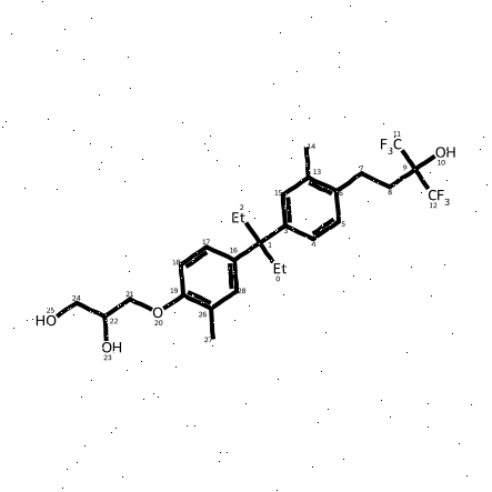 CCC(CC)(c1ccc(CCC(O)(C(F)(F)F)C(F)(F)F)c(C)c1)c1ccc(OCC(O)CO)c(C)c1